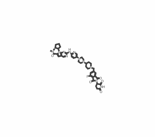 CN(C)C(=O)c1cc2cnc(Nc3ccc(N4CCN(C5CCN(Cc6cc(F)c7c(c6)C(=O)N(C6CCC(=O)NC6=O)C7=O)CC5)CC4)cn3)nc2n1C1CCCC1